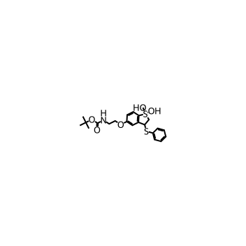 CC(C)(C)OC(=O)NCCOc1ccc2c(c1)C(Sc1ccccc1)CS2(O)O